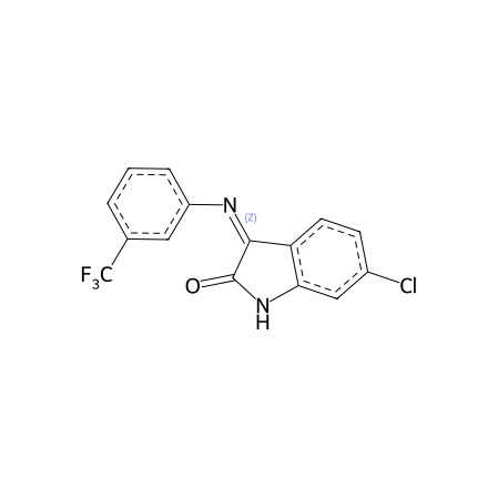 O=C1Nc2cc(Cl)ccc2/C1=N/c1cccc(C(F)(F)F)c1